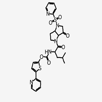 CC(C)CC(NC(=O)Oc1ccc(-c2ccccn2)s1)C(=O)N1CCC2C1C(=O)CN2S(=O)(=O)c1ccccn1